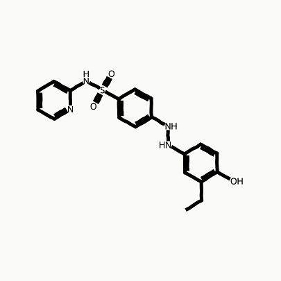 CCc1cc(NNc2ccc(S(=O)(=O)Nc3ccccn3)cc2)ccc1O